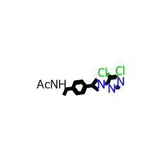 CC(=O)N[C@@H](C)c1ccc(C2CN(c3ncnc(Cl)c3Cl)C2)cc1